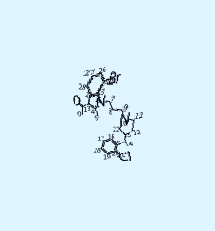 CC(=O)c1c(C)n(CCCN2CCC(Cc3ccccc3Cl)C2)c2c(Br)cccc12